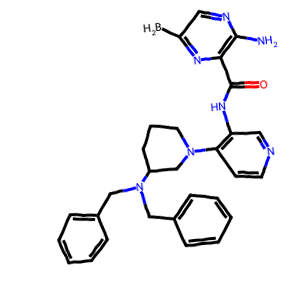 Bc1cnc(N)c(C(=O)Nc2cnccc2N2CCCC(N(Cc3ccccc3)Cc3ccccc3)C2)n1